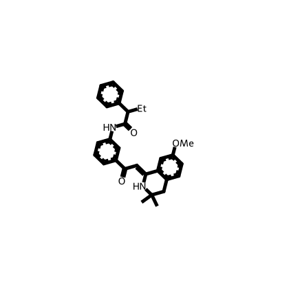 CCC(C(=O)Nc1cccc(C(=O)C=C2NC(C)(C)Cc3ccc(OC)cc32)c1)c1ccccc1